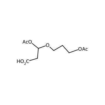 CC(=O)OCCCOC(CC(=O)O)OC(C)=O